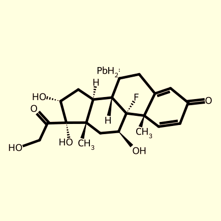 C[C@]12C=CC(=O)C=C1CC[C@H]1[C@@H]3C[C@@H](O)[C@](O)(C(=O)CO)[C@@]3(C)C[C@H](O)[C@@]12F.[PbH2]